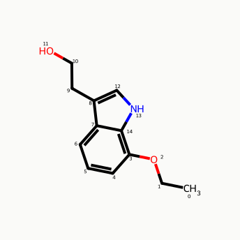 CCOc1cccc2c(CCO)c[nH]c12